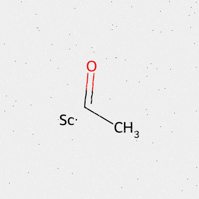 CC=O.[Sc]